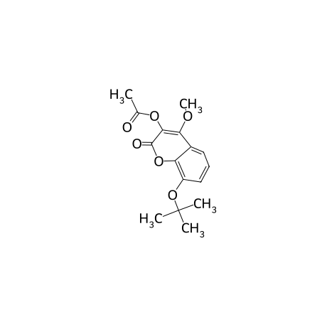 COc1c(OC(C)=O)c(=O)oc2c(OC(C)(C)C)cccc12